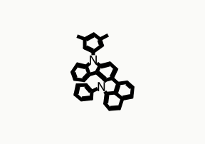 Cc1cc(C)cc(-n2c3ccccc3c3c4c(ccc32)-c2cccc3cccc(c23)N4c2ccccc2)c1